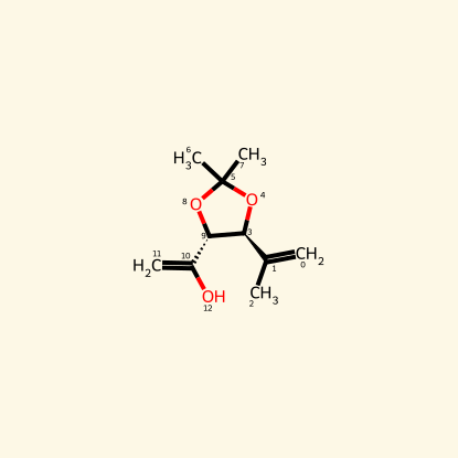 C=C(C)[C@@H]1OC(C)(C)O[C@H]1C(=C)O